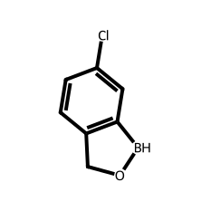 Clc1ccc2c(c1)BOC2